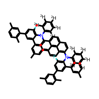 [2H]c1c([2H])c([2H])c(N(c2c(F)cc(-c3cc(C)ccc3C)cc2-c2cc(C)ccc2C)c2ccc3ccc4c(N(c5c(F)cc(-c6cc(C)ccc6C)cc5-c5cc(C)ccc5C)c5c([2H])c([2H])c([2H])c([2H])c5[2H])ccc5ccc2c3c54)c([2H])c1[2H]